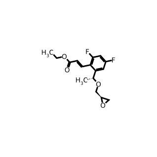 CCOC(=O)/C=C/c1c(F)cc(F)cc1[C@@H](C)OC[C@H]1CO1